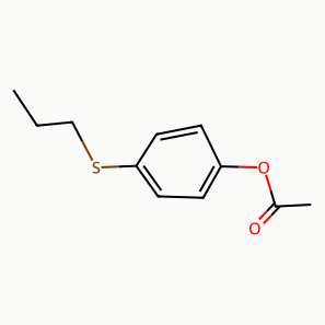 CCCSc1ccc(OC(C)=O)cc1